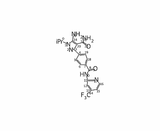 CC(C)n1nc(-c2ccc(C(=O)Nc3cc(C(F)(F)F)ccn3)cc2)c(C(N)=O)c1N